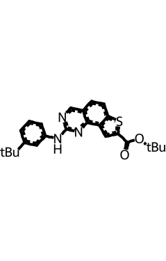 CC(C)(C)OC(=O)c1cc2c(ccc3cnc(Nc4cccc(C(C)(C)C)c4)nc32)s1